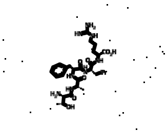 CC(C)C[C@H](NC(=O)[C@H](Cc1ccccc1)NC(=O)[C@H](C)NC(=O)[C@@H](N)[C@@H](C)O)C(=O)N[C@@H](CCCNC(=N)N)C(=O)O